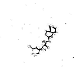 CCC(=CCCl)NCC(=O)NCC1=Nc2ccccc2CS1